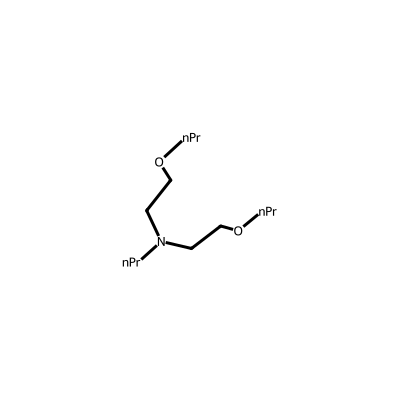 [CH2]CCN(CCOCCC)CCOCCC